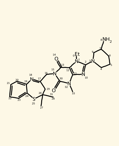 CCn1c(N2CCCC(N)C2)nc2c1c(=O)n(CC1=Nc3ccccc3SC(C)(C)C1)c(=O)n2C